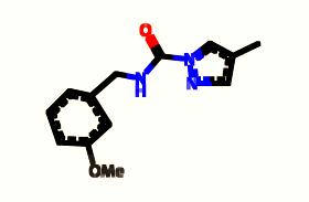 COc1cccc(CNC(=O)n2cc(C)cn2)c1